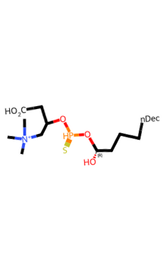 CCCCCCCCCCCCC[C@H](O)O[PH](=S)OC(CC(=O)O)C[N+](C)(C)C